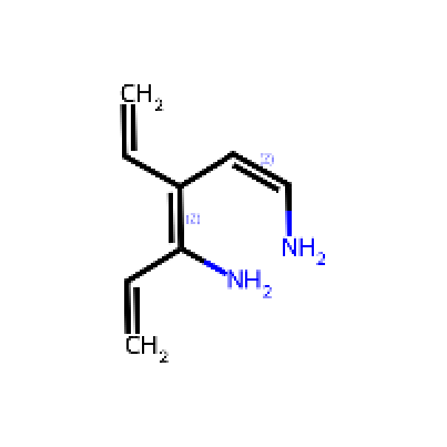 C=C/C(N)=C(C=C)/C=C\N